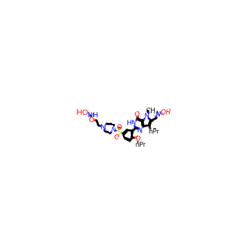 CCCOc1ccc(S(=O)(=O)N2CCN(CCONO)CC2)cc1-c1nc2c(CCC)c(/C=N/O)n(C)c2c(=O)[nH]1